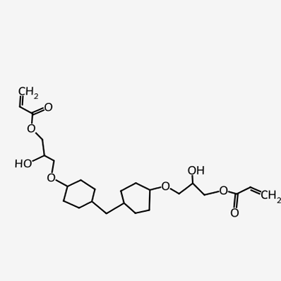 C=CC(=O)OCC(O)COC1CCC(CC2CCC(OCC(O)COC(=O)C=C)CC2)CC1